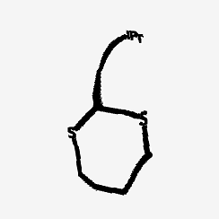 CC(C)CC1SCCCS1